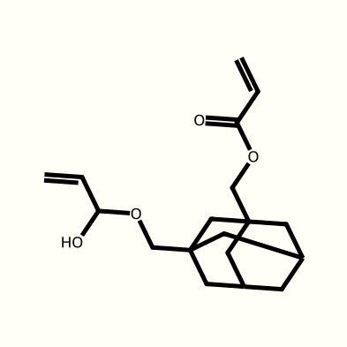 C=CC(=O)OCC12CC3CC(C1)CC(COC(O)C=C)(C3)C2